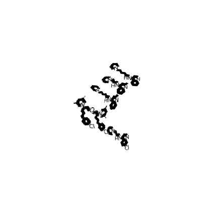 C[C@H]1C[C@H](C)CN(C(CCCc2ccc(Cl)cc2)CCOCCC(CCCc2ccc(Cl)cc2)N2C[C@@H](C)C[C@H](C)C2)C1.Cc1cc(NCCCCCCN2CCCCC2)c2ccccc2n1.Cc1cc(NCCCN2CCCCC2)c2ccccc2n1.Clc1ccc2c(NCCCN3CCCCC3)ccnc2c1.c1ccc2c(NCCCCCCN3CCCCC3)ccnc2c1